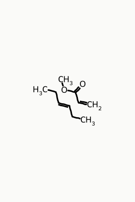 C=CC(=O)OC.CCC=CCC